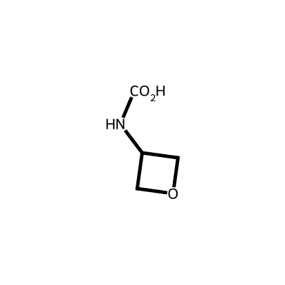 O=C(O)NC1COC1